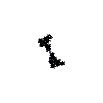 CC1(C)c2cc(/C=C/c3ccc4c(c3)C(C)(C)c3cc(N(c5ccc6c7c(cccc57)-c5ccccc5-6)c5cc6ccccc6c6ccccc56)ccc3-4)ccc2-c2ccc(N(c3ccc4c5c(cccc35)C3=C4C=CCC3)c3cc4ccccc4c4ccccc34)cc21